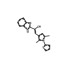 Cc1cc(/C=C(\C#N)c2nc3ccccc3[nH]2)c(C)n1-c1cccs1